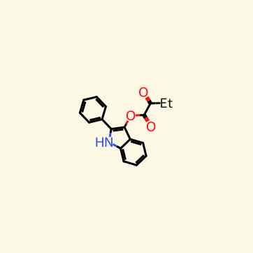 CCC(=O)C(=O)Oc1c(-c2ccccc2)[nH]c2ccccc12